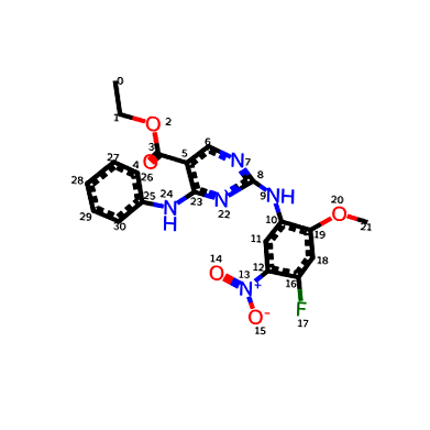 CCOC(=O)c1cnc(Nc2cc([N+](=O)[O-])c(F)cc2OC)nc1Nc1ccccc1